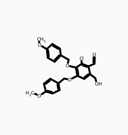 COc1ccc(COc2cc(CO)c(C=O)c(Cl)c2OCc2ccc(OC)cc2)cc1